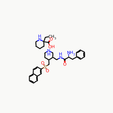 CCC1(C(=O)O)CCCCN1.N[C@@H](Cc1ccccc1)C(=O)NCC1CNCCC1CS(=O)(=O)c1ccc2ccccc2c1